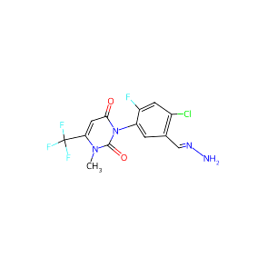 Cn1c(C(F)(F)F)cc(=O)n(-c2cc(/C=N/N)c(Cl)cc2F)c1=O